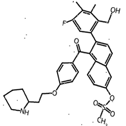 CS(=O)(=O)Oc1ccc2c(C(=O)c3ccc(OCCC4CCCCN4)cc3)c(-c3cc(F)c(F)c(F)c3CO)ccc2c1